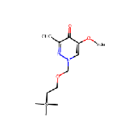 CCCCOc1cn(COCC[Si](C)(C)C)nc(C=O)c1=O